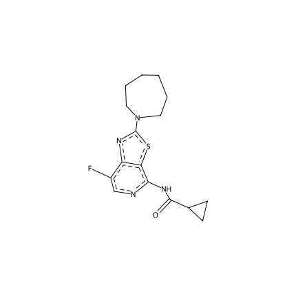 O=C(Nc1ncc(F)c2nc(N3CCCCCC3)sc12)C1CC1